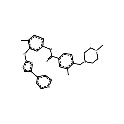 Cc1cc(C(=O)Nc2ccc(C)c(Nc3nc(-c4ccncc4)cs3)c2)ccc1CN1CCN(C)CC1